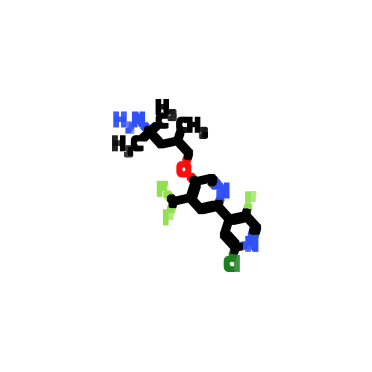 CC(COc1cnc(-c2cc(Cl)ncc2F)cc1C(F)F)CC(C)(C)N